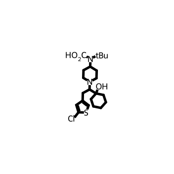 CC(C)(C)N(C(=O)O)C1CCN(C(Cc2csc(Cl)c2)C2(O)CCCCC2)CC1